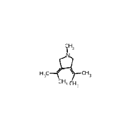 CC(C)=C1CN(C)CC1=C(C)C